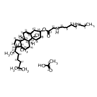 CC(=O)O.CCNCCCCNCC(=O)O[C@H]1CC[C@@]2(C)C(=CC[C@H]3[C@@H]4CC[C@H]([C@H](C)CCCC(C)C)[C@@]4(C)CC[C@@H]32)C1